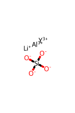 [Al+3].[Li+].[O-][Si]([O-])([O-])[O-].[Y+3]